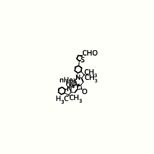 CCCCCCN1C(=CC2=C(O)C(=CC3=[N+](CCC)c4ccccc4C3(C)C)C2=O)C(C)(C)c2cc(-c3ccc(C=O)s3)ccc21